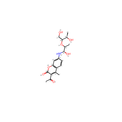 CC(=O)c1c(C)c2ccc(N[C@H](O)C(C)OC(CO)[C@@H](C)O)cc2oc1=O